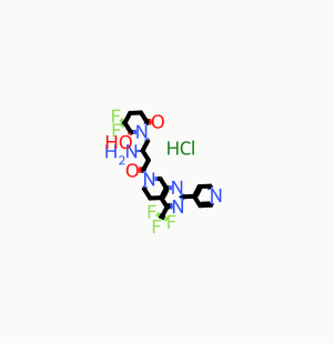 Cl.N[C@H](CC(=O)N1CCc2c(nc(-c3ccncc3)nc2C(F)(F)F)C1)CN1C(=O)CCC(F)(F)C1O